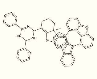 CC12CCCC(C3N=C(c4ccccc4)NC(c4ccccc4)N3)=C1Sc1cccc(-c3cccc4sc5cccc(-n6c7ccccc7c7ccccc76)c5c34)c12